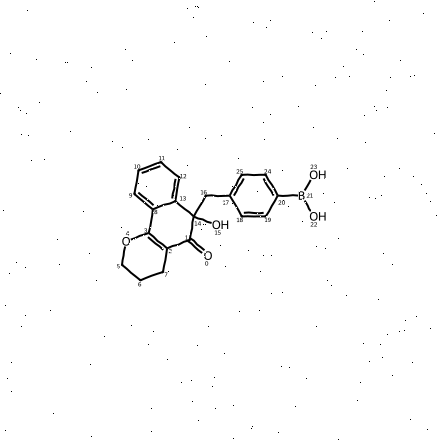 O=C1C2=C(OCCC2)c2ccccc2C1(O)Cc1ccc(B(O)O)cc1